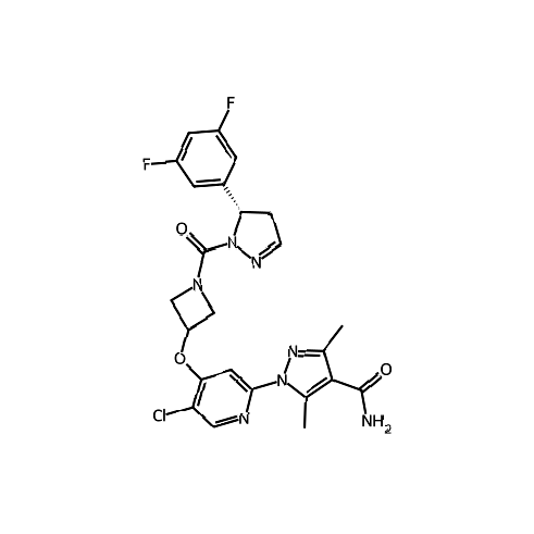 Cc1nn(-c2cc(OC3CN(C(=O)N4N=CC[C@H]4c4cc(F)cc(F)c4)C3)c(Cl)cn2)c(C)c1C(N)=O